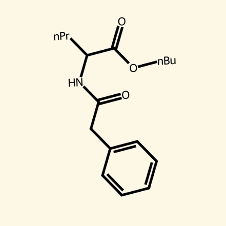 [CH2]CCC(NC(=O)Cc1ccccc1)C(=O)OCCCC